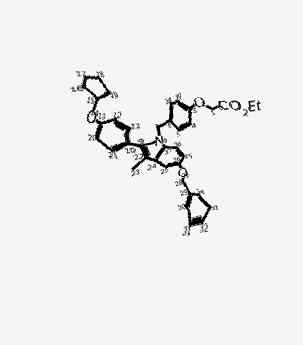 CCOC(=O)COc1ccc(Cn2c(-c3ccc(OC4CCCC4)cc3)c(C)c3cc(OCc4ccccc4)ccc32)cc1